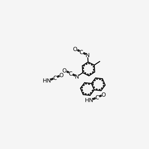 Cc1ccc(N=C=O)cc1N=C=O.N=C=O.N=C=O.c1ccc2ccccc2c1